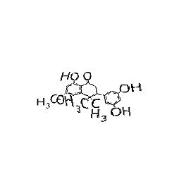 COc1cc(O)c2c(c1)C(C)(C)C(c1cc(O)cc(O)c1)CC2=O